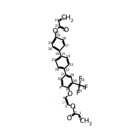 C=CC(=O)O/C=C\Oc1ccc(-c2ccc(-c3ccc(OC(=O)C=C)cc3)cc2)cc1C(F)(F)F